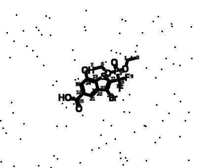 CCOP(=O)(OCC)C(F)(F)c1sc2c(O)cc(C(=O)O)cc2c1Br